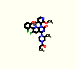 C=CC(=O)N1CCN(c2nc(=O)n(-c3c(C)ccnc3OC)c3nc(-c4c(O)cccc4F)c(F)cc23)C(C)C1